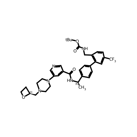 C[C@@H](NC(=O)c1cncc(N2CCN(C[C@@H]3CCO3)CC2)c1)c1ccc(-c2cc(C(F)(F)F)ccc2CNC(=O)OC(C)(C)C)cc1